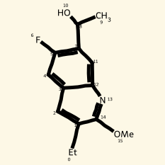 CCc1cc2cc(F)c(C(C)O)cc2nc1OC